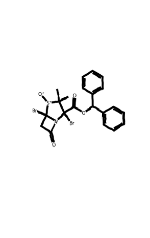 CC1(C)[S+]([O-])C2(Br)CC(=O)N2C1(Br)C(=O)OC(c1ccccc1)c1ccccc1